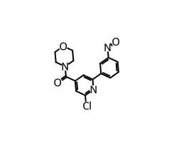 O=Nc1cccc(-c2cc(C(=O)N3CCOCC3)cc(Cl)n2)c1